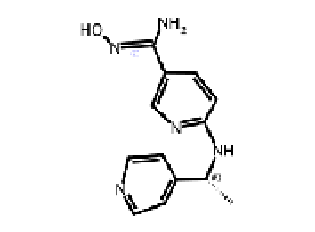 C[C@@H](Nc1ccc(/C(N)=N/O)cn1)c1ccncc1